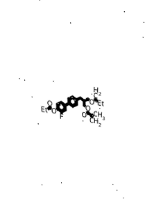 C=C(CC)OCC(COC(=O)C(=C)C)Cc1ccc(-c2ccc(OC(=O)CC)c(F)c2)cc1